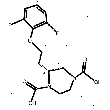 O=C(O)N1CCN(C(=O)O)[C@H](CCOc2c(F)cccc2F)C1